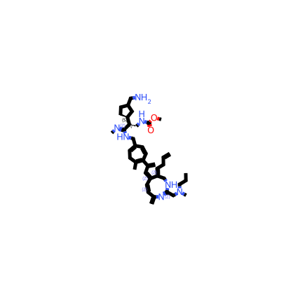 C=CC\C=C1/CN/C(CN(C)CCC)=N\C(=C)\C=C/C1=C/C(=C)C1=C(C)CC=C(CN/C(=N\C)[C@@H](CNC(=O)OC)[C@H]2CCC(CN)C2)C=C1